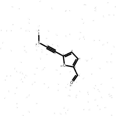 O=Cc1ccc(C#CSI)o1